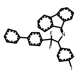 FC(F)(c1ccc(-c2ccccc2)cc1)C(N=C1c2ccccc2-c2ccccc21)c1ccc(I)cc1